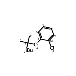 CCC(C)C(C)(C)Oc1ccccc1Cl